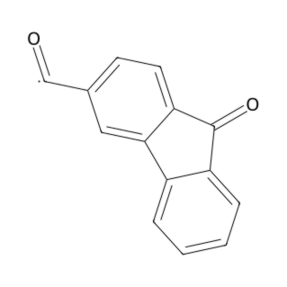 O=[C]c1ccc2c(c1)-c1ccccc1C2=O